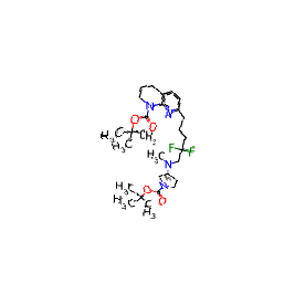 CN(CC(F)(F)CCCc1ccc2c(n1)N(C(=O)OC(C)(C)C)CCC2)[C@@H]1CCN(C(=O)OC(C)(C)C)C1